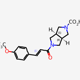 O=C(O)N1C[C@@H]2CN(C(=O)/C=C/c3ccc(OC(F)(F)F)cc3)C[C@@H]2C1